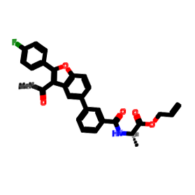 C=CCOC(=O)[C@H](C)NC(=O)c1cccc(-c2ccc3oc(-c4ccc(F)cc4)c(C(=O)NC)c3c2)c1